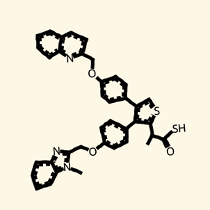 CC(C(=O)S)c1scc(-c2ccc(OCc3ccc4ccccc4n3)cc2)c1-c1ccc(OCc2nc3ccccc3n2C)cc1